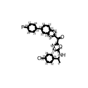 CC(Nc1nnc(C(=O)c2nc3ccc(-c4ccc(F)cc4)cc3s2)o1)c1ccc(Cl)cc1